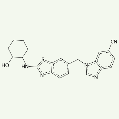 N#Cc1ccc2ncn(Cc3ccc4nc(NC5CCCCC5O)sc4c3)c2c1